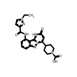 CCn1ccc(C(=O)Nc2cccc3nn4c(C5CCN(C(=O)O)CC5)cc(=O)[nH]c4c23)n1